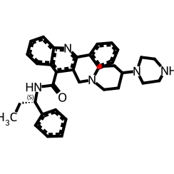 CC[C@H](NC(=O)c1c(CN2CCC(N3CCNCC3)CC2)c(-c2ccccc2)nc2ccccc12)c1ccccc1